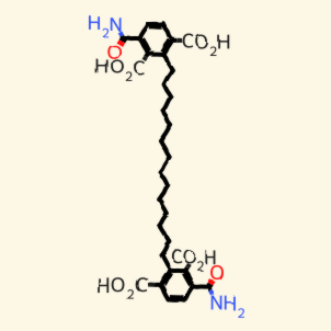 NC(=O)c1ccc(C(=O)O)c(CCCCCCCCCCCCCCc2c(C(=O)O)ccc(C(N)=O)c2C(=O)O)c1C(=O)O